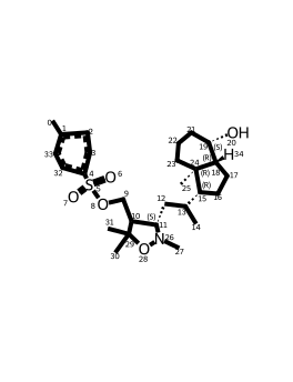 Cc1ccc(S(=O)(=O)OCC2[C@H](CC(C)[C@H]3CC[C@H]4[C@@H](O)CCC[C@]34C)N(C)OC2(C)C)cc1